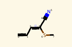 C=C/C=C(/C#N)SC